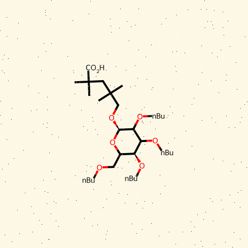 CCCCOCC1O[C@@H](OCC(C)(C)CC(C)(C)C(=O)O)C(OCCCC)C(OCCCC)[C@H]1OCCCC